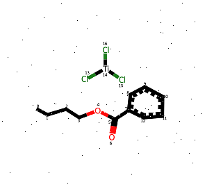 CCCCOC(=O)c1ccccc1.[Cl][Ti]([Cl])[Cl]